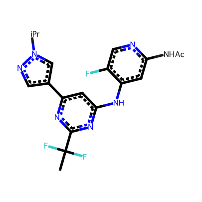 CC(=O)Nc1cc(Nc2cc(-c3cnn(C(C)C)c3)nc(C(C)(F)F)n2)c(F)cn1